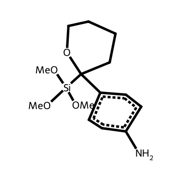 CO[Si](OC)(OC)C1(c2ccc(N)cc2)CCCCO1